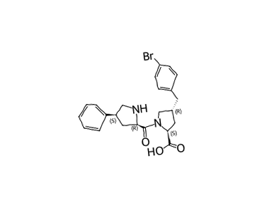 O=C(O)[C@@H]1C[C@@H](Cc2ccc(Br)cc2)CN1C(=O)[C@H]1C[C@@H](c2ccccc2)CN1